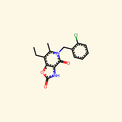 CCc1c(C)n(Cc2ccccc2Cl)c(=O)c2[nH]c(=O)oc12